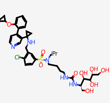 CC(C)N(CCCCNC(=O)N[C@@H](CO)[C@@H](O)[C@H](O)[C@H](O)CO)S(=O)(=O)c1ccc(Cl)c(CNC2(c3cnccc3-c3ccccc3OC3CC3)CC2)c1